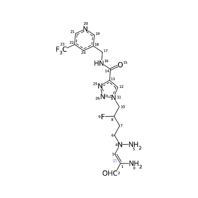 N/C(C=O)=C\N(N)CCC(F)Cn1cc(C(=O)NCc2cncc(C(F)(F)F)c2)nn1